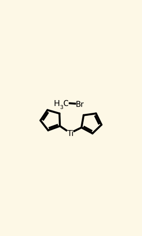 C1=CC[C]([Ti][C]2=CC=CC2)=C1.CBr